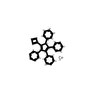 C1=CC(C2=C(c3ccccc3)C(c3ccccc3)=C(c3ccccc3)C2c2ccccc2)=C1.[Co]